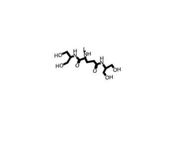 O=C(CCC(NI)C(=O)NC(CO)CO)NC(CO)CO